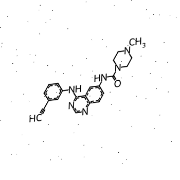 C#Cc1cccc(Nc2ncnc3ccc(NC(=O)N4CCN(C)CC4)cc23)c1